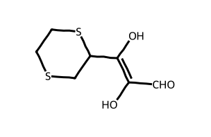 O=CC(O)=C(O)C1CSCCS1